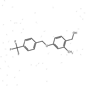 [CH2]c1cc(OCc2ccc(C(F)(F)F)cc2)ccc1CO